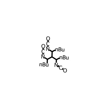 CCCCC(N=C=O)C(C(CCCC)N=C=O)C(CCCC)N=C=O